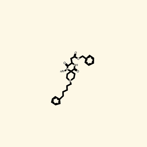 CCCN1C(=O)C(CC(=O)OCc2ccccc2)NC(=O)C12CCN(CCCCCc1ccccc1)CC2